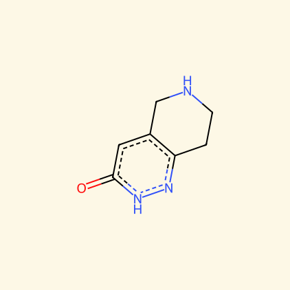 O=c1cc2c(n[nH]1)CCNC2